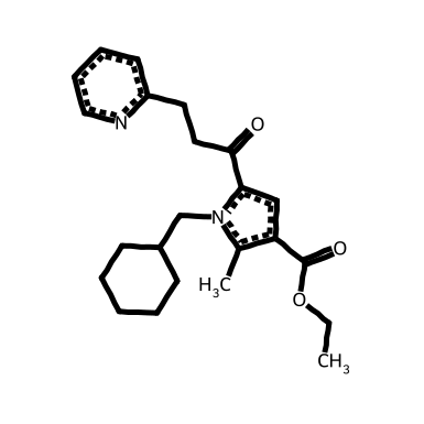 CCOC(=O)c1cc(C(=O)CCc2ccccn2)n(CC2CCCCC2)c1C